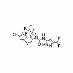 C[C@@]1(C(F)(F)F)CN(C(=O)Nc2cc(C(F)F)n[nH]2)c2cnc3cc(Cl)nn3c21